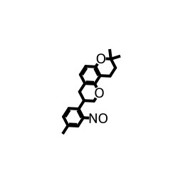 Cc1ccc(C2COc3c(ccc4c3CCC(C)(C)O4)C2)c(N=O)c1